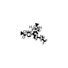 COC1(C(=O)N2CCN(c3c(F)c(S(=O)(=O)NC4(C)CC4)cn4c(-c5nnc(C(F)F)s5)ncc34)CC2)CC1